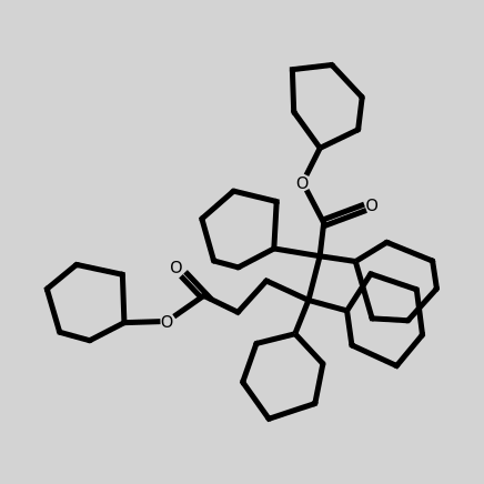 O=C(CCC(C1CCCCC1)(C1CCCCC1)C(C(=O)OC1CCCCC1)(C1CCCCC1)C1CCCCC1)OC1CCCCC1